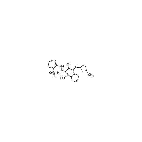 CC1CCC(=Nn2c(=O)c(C3=NS(=O)(=O)c4ccccc4N3)c(O)c3ccccc32)C1